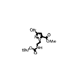 COC(=O)c1cc(N=O)nn1CCNC(=O)OC(C)(C)C